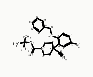 CC(C)(C)OC(=O)N1CCC(C#N)(c2cc(Br)ccc2OCc2ccccc2)CC1